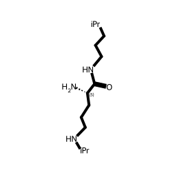 CC(C)CCCNC(=O)[C@@H](N)CCCNC(C)C